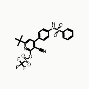 CC(C)(C)c1cc(-c2ccc(NS(=O)(=O)c3ccccc3)cc2)c(C#N)c(OS(=O)(=O)C(F)(F)F)n1